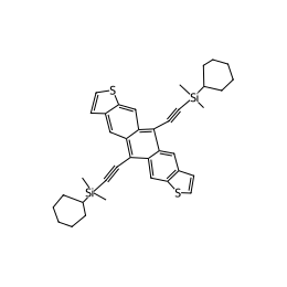 C[Si](C)(C#Cc1c2cc3ccsc3cc2c(C#C[Si](C)(C)C2CCCCC2)c2cc3ccsc3cc12)C1CCCCC1